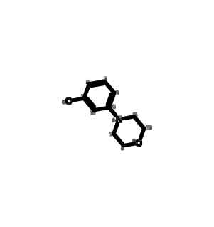 [O]c1cccc(N2CCOCC2)c1